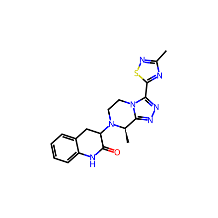 Cc1nsc(-c2nnc3n2CCN(C2Cc4ccccc4NC2=O)[C@@H]3C)n1